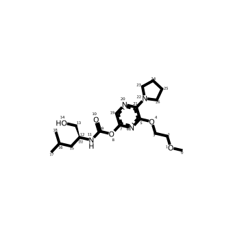 COCCOc1nc(OC(=O)N[C@H](CO)CC(C)C)cnc1N1CCCC1